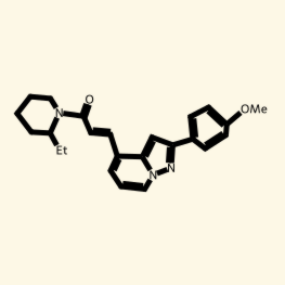 CCC1CCCCN1C(=O)C=Cc1cccn2nc(-c3ccc(OC)cc3)cc12